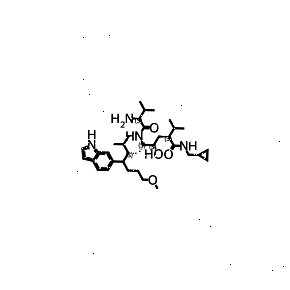 COCCCC(c1ccc2cc[nH]c2c1)[C@@H](C[C@H](NC(=O)[C@@H](N)C(C)C)[C@@H](O)C[C@H](C(=O)NCC1CC1)C(C)C)C(C)C